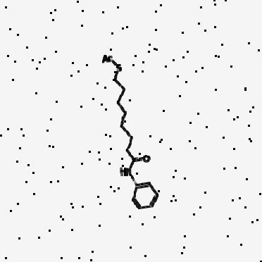 CC(=O)SCCCCCCCC(=O)Nc1ccccc1